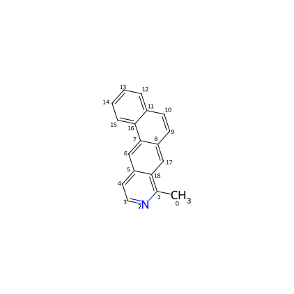 Cc1nccc2cc3c(ccc4ccccc43)cc12